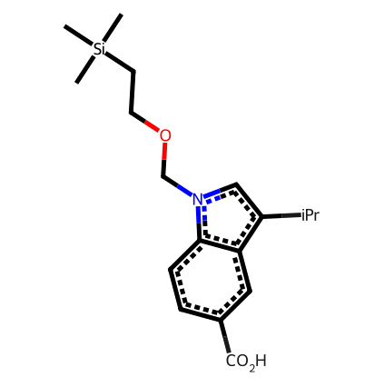 CC(C)c1cn(COCC[Si](C)(C)C)c2ccc(C(=O)O)cc12